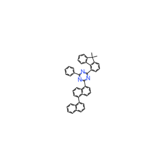 CC1(C)c2ccccc2-c2c(-c3nc(-c4ccccc4)nc(-c4cccc5c(-c6cccc7ccccc67)cccc45)n3)cccc21